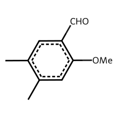 COc1cc(C)c(C)cc1C=O